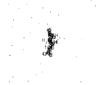 CC(=O)N(c1cc(-c2nc3cc(C(=O)Nc4ccc(N(CCCl)CCCl)cc4)ccc3[nH]2)n(C)c1)N1CCN(Cc2ccccc2)CC1